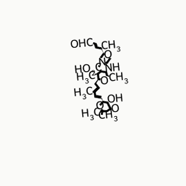 CC(C=C[C@H]1OC(C)(C)CC(=O)[C@@H]1O)=CC[C@@H]1O[C@H](C)[C@H](NC2CO[C@@H](C(C)C=CC=O)CN2C(=O)O)C[C@@H]1C